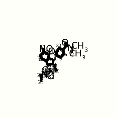 CN(C)C(=O)c1cccc(Oc2c([N+](=O)[O-])ccc3c2CC[C@H]3OP(=O)(N2CC2)N2CC2)c1